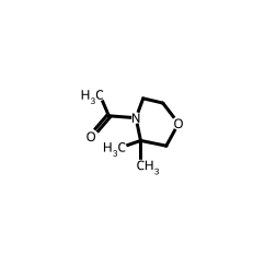 CC(=O)N1CCOCC1(C)C